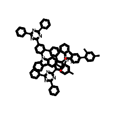 Cc1ccc(-c2ccc3c(c2)c2ccccc2n3-c2ccc(-c3nc(-c4ccccc4)nc(-c4ccccc4)n3)cc2-c2cccc(-c3cc(-c4nc(-c5ccccc5)nc(-c5ccccc5)n4)ccc3-n3c4ccccc4c4cc(-c5ccc(C)cc5C(F)(F)F)ccc43)c2)c(C)c1